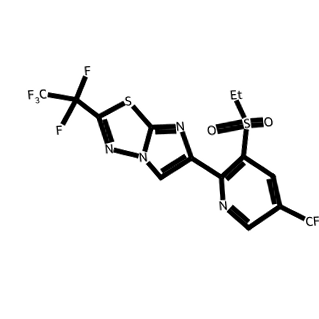 CCS(=O)(=O)c1cc(C(F)(F)F)cnc1-c1cn2nc(C(F)(F)C(F)(F)F)sc2n1